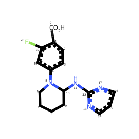 O=C(O)c1ccc(N2CCCCC2Nc2ncccn2)cc1F